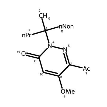 CCCCCCCCCC(C)(CCC)n1nc(C(C)=O)c(OC)cc1=O